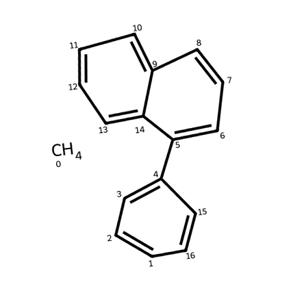 C.c1ccc(-c2cccc3ccccc23)cc1